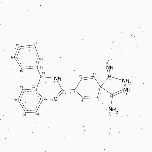 N=C(N)C1(C(=N)N)C=CC(C(=O)NC(c2ccccc2)c2ccccc2)C=C1